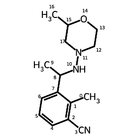 Cc1c(C#N)cccc1C(C)NN1CCOC(C)C1